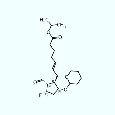 CC(C)OC(=O)CCCC=CC[C@@H]1[C@@H](C=O)[C@@H](F)C[C@H]1OC1CCCCO1